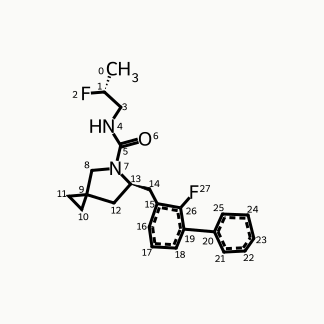 C[C@@H](F)CNC(=O)N1CC2(CC2)C[C@@H]1Cc1cccc(-c2ccccc2)c1F